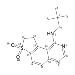 CC(C)(C)CNc1ncnc2ccc3c(c12)CCS3(=O)=O